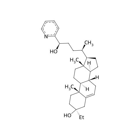 CC[C@]1(O)CC[C@@]2(C)C(=CC[C@H]3[C@@H]4CC[C@H]([C@H](C)CC[C@@H](O)c5ccccn5)[C@@]4(C)CC[C@@H]32)C1